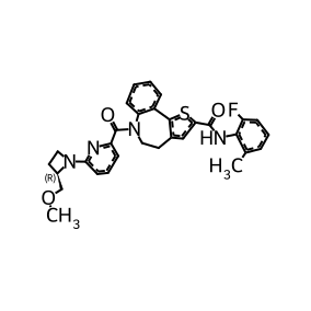 COC[C@H]1CCN1c1cccc(C(=O)N2CCc3cc(C(=O)Nc4c(C)cccc4F)sc3-c3ccccc32)n1